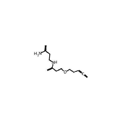 C=C=CCCOCCC(=C)NCCC(=C)N